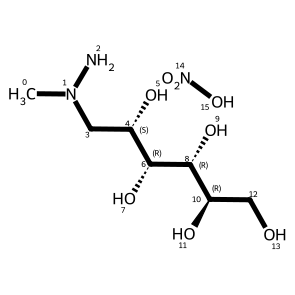 CN(N)C[C@H](O)[C@@H](O)[C@H](O)[C@H](O)CO.O=[N+]([O-])O